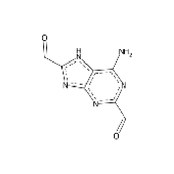 Nc1nc(C=O)nc2nc(C=O)[nH]c12